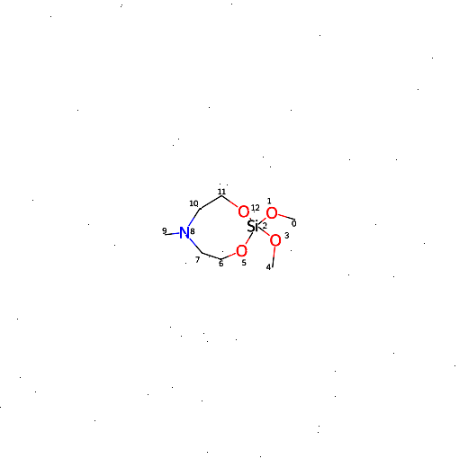 CO[Si]1(OC)OCCN(C)CCO1